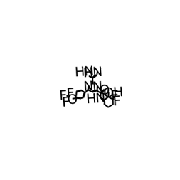 CN/C=C(\C=N)c1nc(C(=O)NC2CCCC(F)(F)C2O)cc(-c2ccc(OC(F)(F)F)cc2)n1